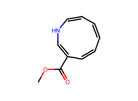 COC(=O)c1cccccc[nH]c1